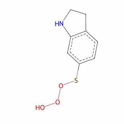 OOOSc1ccc2c(c1)NCC2